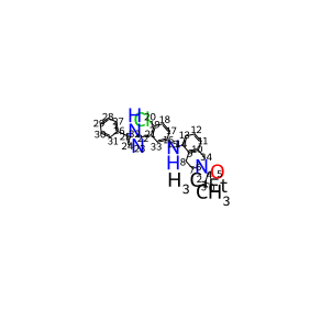 CCC(C)(C)C(=O)N1CCc2c(cccc2Nc2ccc(Cl)c(-c3ncc(-c4ccccc4)[nH]3)c2)C1